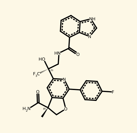 C[C@]1(C(N)=O)COc2c1cc([C@@](O)(CNC(=O)c1cccc3[nH]cnc13)C(F)(F)F)nc2-c1ccc(F)cc1